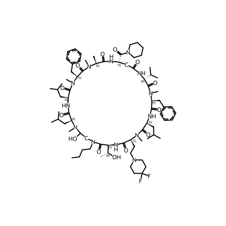 CCCCN1CC(O)N(C)[C@@H](CC(C)C)C(=O)N[C@@H](CC(C)C)C(=O)N(C)[C@@H](Cc2ccccc2)C(=O)N(C)[C@@H](C)C(=O)N[C@H](C(=O)N2CCCCC2)CC(=O)N[C@H](C(C)C)C(=O)N(C)[C@@H](Cc2ccccc2)C(=O)N[C@@H](CC(C)C)C(=O)N(C)[C@@H](CCN2CCC(F)(F)CC2)C(=O)N[C@@H]([C@@H](C)O)C1=O